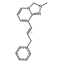 CN1CN2C=CC=C(/C=C/Cc3ccccc3)C2=N1